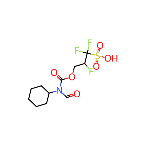 O=CN(C(=O)OCC(F)C(F)(F)S(=O)(=O)O)C1CCCCC1